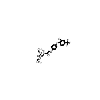 CCOP(=O)(CNC(=O)COc1ccc(Oc2ccc(C(F)(F)F)cc2Cl)cc1)OCC